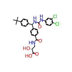 CC(C)(C)c1ccc(C(NC(=O)Nc2ccc(Cl)c(Cl)c2)c2ccc(C(=O)NC[C@@H](O)C(=O)O)cc2)cc1